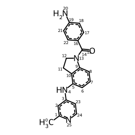 Cc1cc(Nc2cccc3c2CCN3C(=O)c2ccc(N)cc2)ccn1